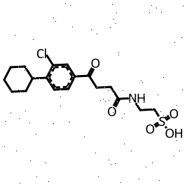 O=C(CCC(=O)c1ccc(C2CCCCC2)c(Cl)c1)NCCS(=O)(=O)O